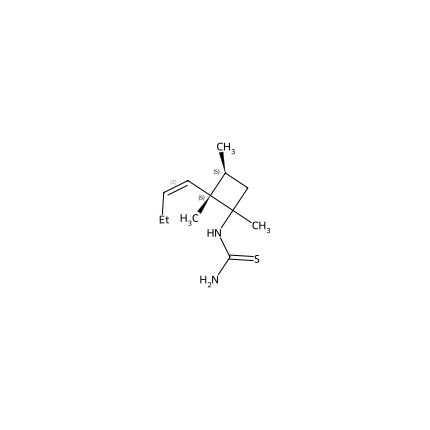 CC/C=C\[C@]1(C)[C@@H](C)CC1(C)NC(N)=S